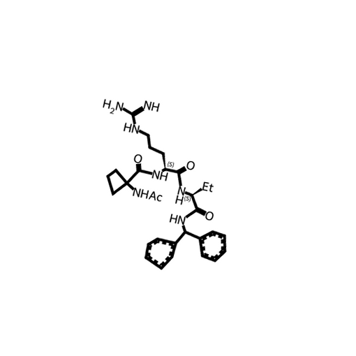 CC[C@H](NC(=O)[C@H](CCCNC(=N)N)NC(=O)C1(NC(C)=O)CCC1)C(=O)NC(c1ccccc1)c1ccccc1